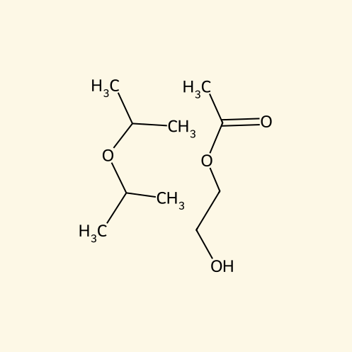 CC(=O)OCCO.CC(C)OC(C)C